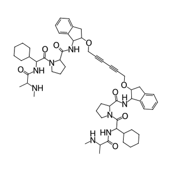 CNC(C)C(=O)NC(C(=O)N1CCCC1C(=O)NC1c2ccccc2CC1OCC#CC#CCOC1Cc2ccccc2C1NC(=O)C1CCCN1C(=O)C(NC(=O)C(C)NC)C1CCCCC1)C1CCCCC1